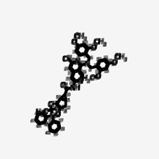 COc1ccc(CN(Cc2ccc(OC)cc2OC)c2nc(Cl)cc3cc(NC(=O)C4C5CC(O[Si](c6ccccc6)(c6ccccc6)C(C)(C)C)CC54)ncc23)c(OC)c1